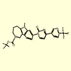 Cn1c2c(c3ccc(-n4ccc(-c5ccc(C(F)(F)F)nc5)nc4=O)cc31)CN(C(=O)OC(C)(C)C)CCC2